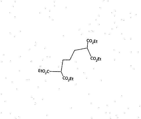 CCOC(=O)C(CCCC(C(=O)OCC)C(=O)OCC)C(=O)OCC